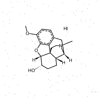 COc1ccc2c3c1O[C@H]1[C@@H](O)CC[C@H]4[C@@H](C2)N(C)CC[C@@]341.I